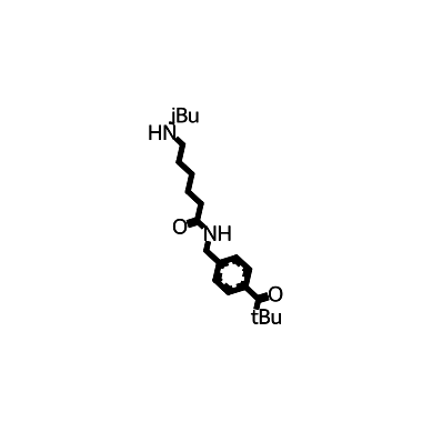 CCC(C)NCCCCCC(=O)NCc1ccc(C(=O)C(C)(C)C)cc1